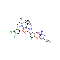 Cc1cc(Oc2c(C)cc(C(=O)N[C@H](C)C(=O)N3C(C(C)(C)C#N)CC[C@H]3c3ccc(F)c(Cl)c3)cc2F)c(=O)[nH]n1